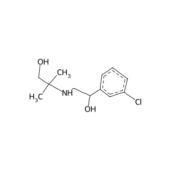 CC(C)(CO)NCC(O)c1cccc(Cl)c1